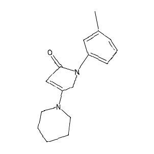 Cc1cccc(N2CC(N3CCCCC3)=CC2=O)c1